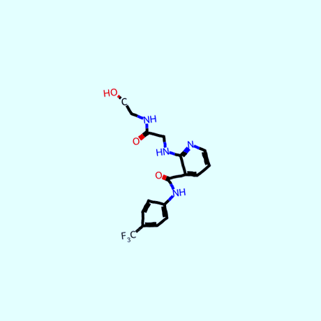 O=C(CNc1ncccc1C(=O)Nc1ccc(C(F)(F)F)cc1)NCCO